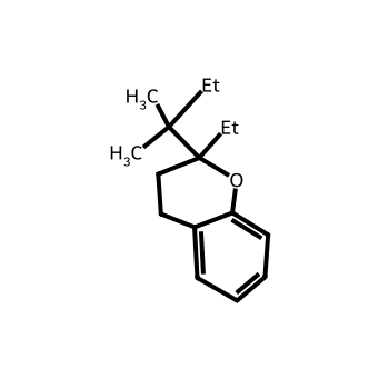 CCC(C)(C)C1(CC)CCc2ccccc2O1